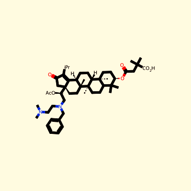 CC(=O)O[C@H](CN(CCN(C)C)Cc1ccccc1)[C@@]12CC[C@]3(C)[C@H](CC[C@@H]4[C@@]5(C)CC[C@H](OC(=O)CC(C)(C)C(=O)O)C(C)(C)C5CC[C@]43C)C1=C(C(C)C)C(=O)C2